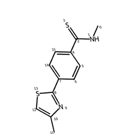 CNC(=S)c1ccc(-c2nc(C)cs2)cc1